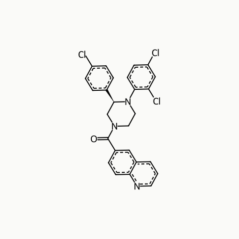 O=C(c1ccc2ncccc2c1)N1CCN(c2ccc(Cl)cc2Cl)[C@H](c2ccc(Cl)cc2)C1